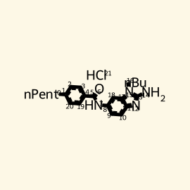 CCCCCc1ccc(C(=O)Nc2ccc3nc(N)n(CCCC)c3c2)cc1.Cl